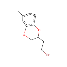 Cc1ccc2c(c1)OCC(CCBr)O2